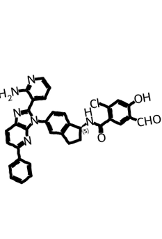 Nc1ncccc1-c1nc2ccc(-c3ccccc3)nc2n1-c1ccc2c(c1)CC[C@@H]2NC(=O)c1cc(C=O)c(O)cc1Cl